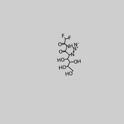 [N-]=[N+]=NC(C(=O)NC(=O)C(F)F)C(O)C(O)C(O)CO